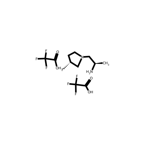 C[C@@H](N)CN1CC[C@@H](F)C1.O=C(O)C(F)(F)F.O=C(O)C(F)(F)F